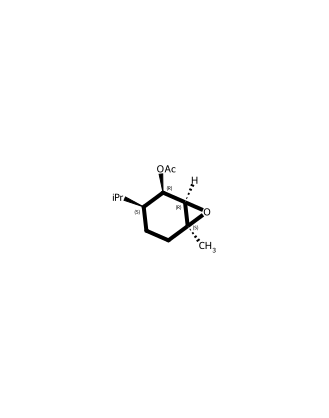 CC(=O)O[C@H]1[C@H]2O[C@@]2(C)CC[C@H]1C(C)C